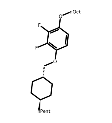 CCCCCCCCOc1ccc(OC[C@H]2CC[C@H](CCCCC)CC2)c(F)c1F